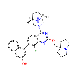 Oc1cc(-c2ccc3c(N4C[C@H]5CC[C@@H](C4)N5)nc(OCC45CCCN4CCC5)nc3c2F)c2ccccc2c1